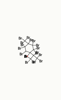 Br[C]1C(Br)(Br)C(Br)(C(Br)(Br)Br)C(Br)(Br)C(Br)(Br)C1(Br)C(Br)(C(Br)(Br)Br)C(Br)(Br)Br